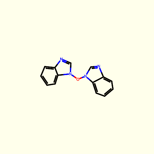 c1ccc2c(c1)ncn2On1cnc2ccccc21